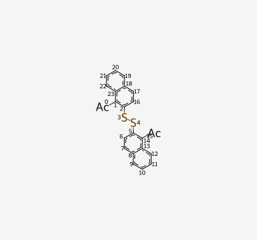 CC(=O)c1c(SSc2ccc3ccccc3c2C(C)=O)ccc2ccccc12